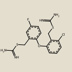 N=C(N)SCc1cc(F)ccc1Oc1cccc(Cl)c1CSC(=N)N